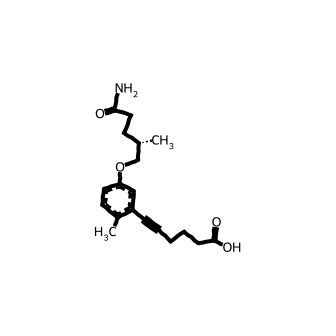 Cc1ccc(OC[C@@H](C)CCC(N)=O)cc1C#CCCCC(=O)O